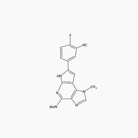 [C-]#[N+]c1cc(-c2cc3c(nc(NC)c4ncn(C)c43)[nH]2)ccc1F